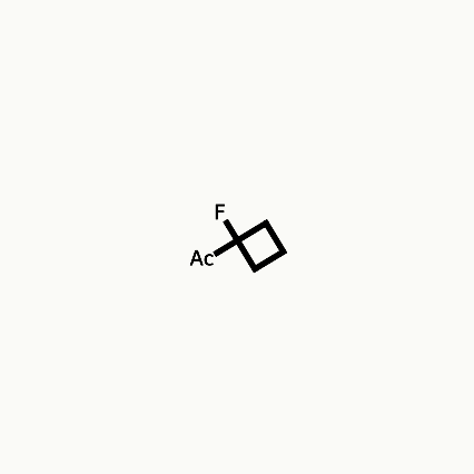 CC(=O)C1(F)CCC1